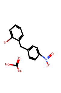 O=C(O)O.O=[N+]([O-])c1ccc(Cc2ccccc2Br)cc1